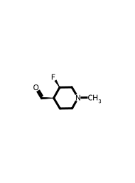 CN1CC[C@@H](C=O)[C@@H](F)C1